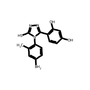 Bc1ccc(-n2c(S)nnc2-c2ccc(O)cc2O)c(C)c1